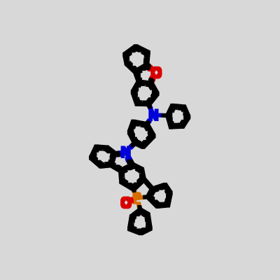 O=P1(c2ccccc2)c2ccccc2-c2cc3c(cc21)c1ccccc1n3-c1ccc(N(c2ccccc2)c2ccc3c(c2)oc2ccccc23)cc1